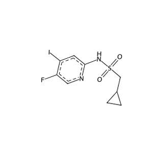 O=S(=O)(CC1CC1)Nc1cc(I)c(F)cn1